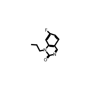 CCCn1c(=O)ncc2ccc(F)cc21